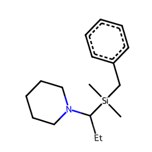 CCC(N1CCCCC1)[Si](C)(C)Cc1ccccc1